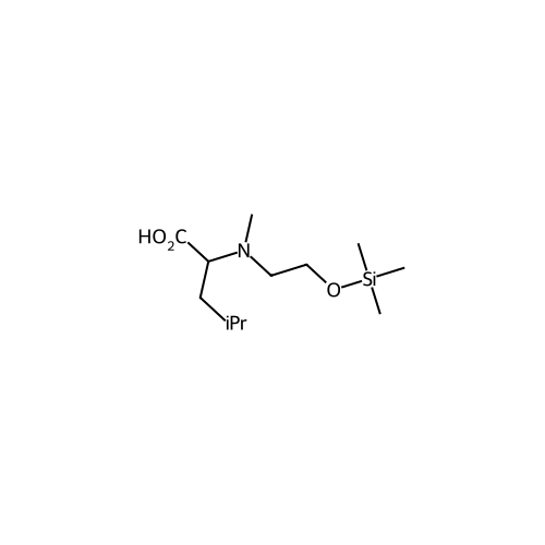 CC(C)CC(C(=O)O)N(C)CCO[Si](C)(C)C